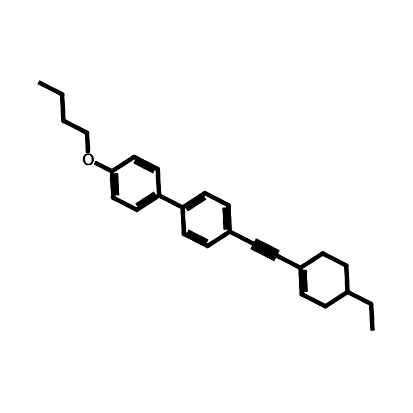 CCCCOc1ccc(-c2ccc(C#CC3=CCC(CC)CC3)cc2)cc1